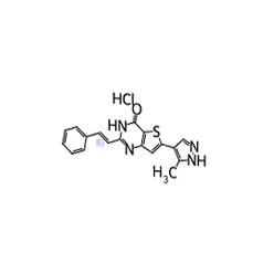 Cc1[nH]ncc1-c1cc2nc(/C=C/c3ccccc3)[nH]c(=O)c2s1.Cl